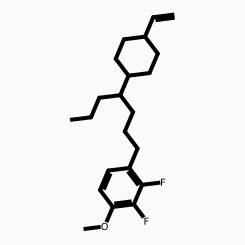 C=CC1CCC(C(CCC)CCCc2ccc(OC)c(F)c2F)CC1